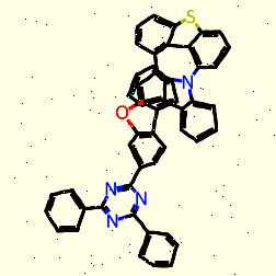 c1ccc(-c2nc(-c3ccccc3)nc(-c3ccc4c(c3)oc3cc(-c5cccc6sc7cccc(-n8c9ccccc9c9ccccc98)c7c56)ccc34)n2)cc1